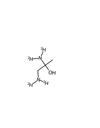 [2H]N([2H])CC(C)(O)N([2H])[2H]